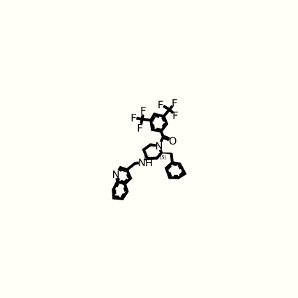 O=C(c1cc(C(F)(F)F)cc(C(F)(F)F)c1)N1CC[C@H](NCc2cnc3ccccc3c2)C[C@@H]1Cc1ccccc1